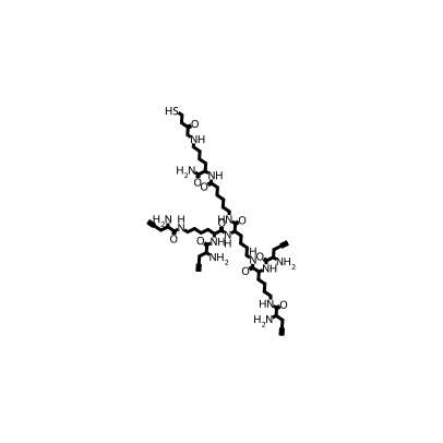 C#CCC(N)C(=O)NCCCCC(NC(=O)C(N)CC#C)C(=O)NCCCCC(NC(=O)C(CCCCNC(=O)C(N)CC#C)NC(=O)C(N)CC#C)C(=O)NCCCCCC(=O)NC(CCCCNCC(=O)CCS)C(N)=O